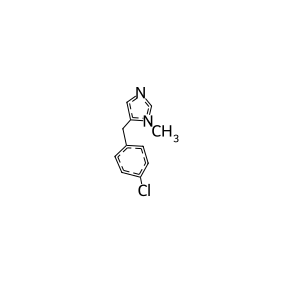 Cn1cncc1Cc1ccc(Cl)cc1